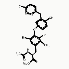 COC(=O)[C@H](Cc1cc(Br)c(Oc2ccc(O)c(Cc3ccc(Cl)nn3)c2)c(Br)c1C)NC(=O)C(F)(F)F